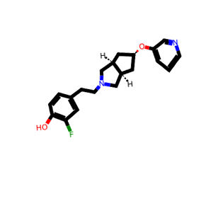 Oc1ccc(CCN2C[C@H]3C[C@H](Oc4cccnc4)C[C@H]3C2)cc1F